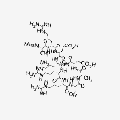 CNC(=O)[C@H](CC(=O)O)NC(=O)[C@H](C)NC(=O)[C@H](CO)NC(=O)[C@H](CCCNC(=N)N)NC(=O)[C@H](CCCNC(=N)N)NC(=O)[C@H](CCCCN)NC(=O)[C@H](CCC(=O)O)NC(=O)[C@H](CCCNC(=N)N)NC(=O)[C@H](C)NC